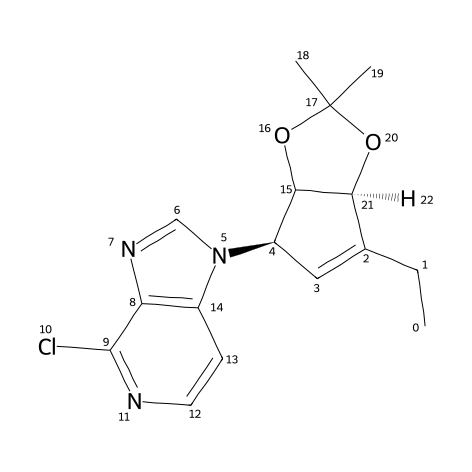 CCC1=C[C@@H](n2cnc3c(Cl)nccc32)C2OC(C)(C)O[C@@H]12